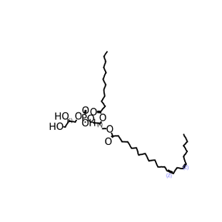 CCCCC/C=C\C/C=C\CCCCCCCCCCCC(=O)OC[C@H](COP(=O)(O)OC[C@@H](O)CO)OC(=O)CCCCCCCCCCC